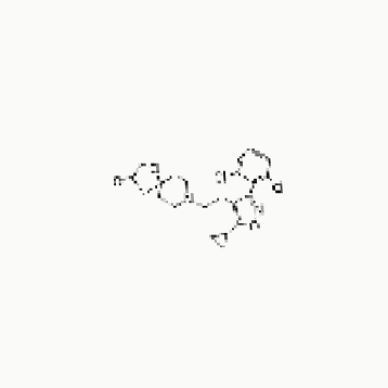 O=C1COC2(CCN(CCc3c(-c4c(Cl)cccc4Cl)noc3C3CC3)CC2)C1